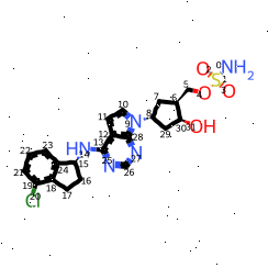 NS(=O)(=O)OC[C@@H]1C[C@@H](n2ccc3c(N[C@@H]4CCc5c(Cl)cccc54)ncnc32)C[C@@H]1O